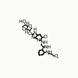 COCCCNc1ccccc1C(=N)CNc1nc2nc(O[C@@H]3CO[C@H]4[C@@H]3OC[C@H]4O)[nH]c2cc1Cl